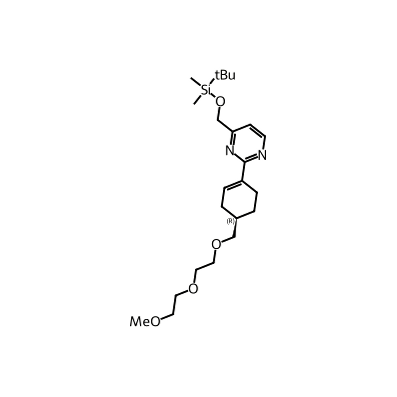 COCCOCCOC[C@H]1CC=C(c2nccc(CO[Si](C)(C)C(C)(C)C)n2)CC1